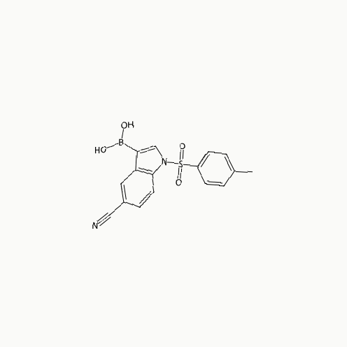 Cc1ccc(S(=O)(=O)n2cc(B(O)O)c3cc(C#N)ccc32)cc1